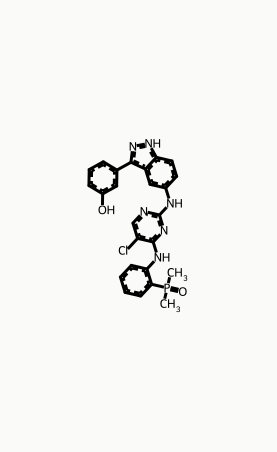 CP(C)(=O)c1ccccc1Nc1nc(Nc2ccc3[nH]nc(-c4cccc(O)c4)c3c2)ncc1Cl